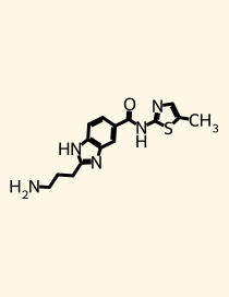 Cc1cnc(NC(=O)c2ccc3[nH]c(CCCN)nc3c2)s1